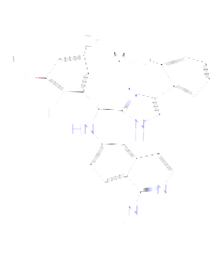 CCOc1cc(CC)cc(C(Nc2ccc3c(N)nccc3c2)c2nc(-c3ccccc3OC)c[nH]2)c1F